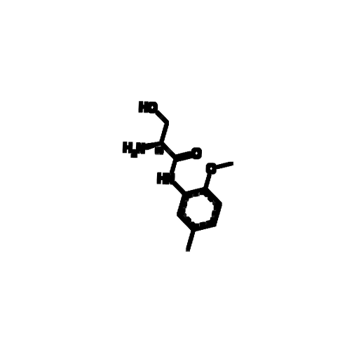 COc1ccc(C)cc1NC(=O)[C@@H](N)CO